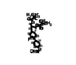 C=C(C)C(=O)OCC(COC(=O)C(=C)C)Cc1ccc(-c2ccc(OC=O)cc2)c(F)c1